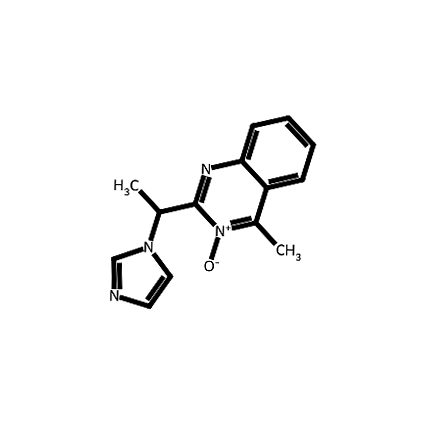 Cc1c2ccccc2nc(C(C)n2ccnc2)[n+]1[O-]